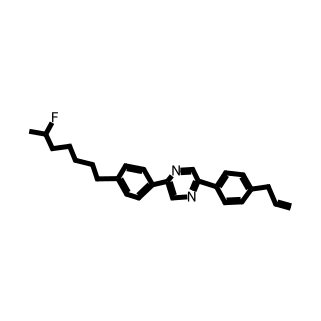 C=CCc1ccc(-c2cnc(-c3ccc(CCCCCC(C)F)cc3)cn2)cc1